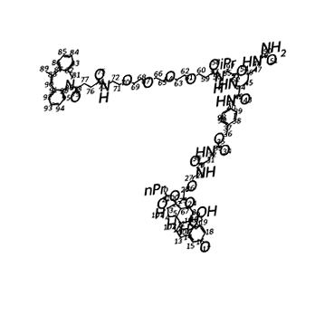 CCCC1O[C@@H]2C[C@@H]3C(C[C@H](O)[C@H]4[C@H]3CCC3=CC(=O)C=C[C@@]34C)[C@]2(C(=O)COCNC(=O)CNC(=O)OCc2ccc(NC(=O)[C@H](CCCNC(N)=O)NC(=O)[C@@H](NC(=O)CCOCCOCCOCCOCCNC(=O)CCC(=O)N3Cc4ccccc4/C(C)=C\c4ccccc43)C(C)C)cc2)O1